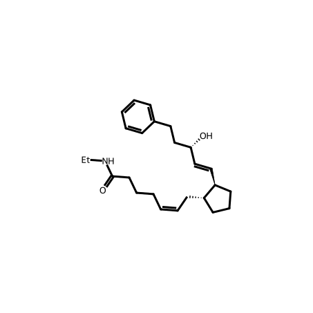 CCNC(=O)CCC/C=C\C[C@H]1CCC[C@@H]1/C=C/[C@@H](O)CCc1ccccc1